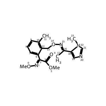 CO/N=C(/C(=O)OC)c1cccc(C)c1CO/N=C(\C)c1cncn1C